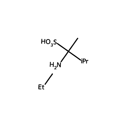 CC(C)C(C)(N)S(=O)(=O)O.CCC